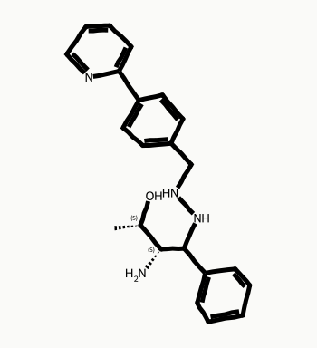 C[C@H](O)[C@@H](N)C(NNCc1ccc(-c2ccccn2)cc1)c1ccccc1